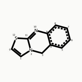 C1=CN2Cc3ccccc3N=C2S1